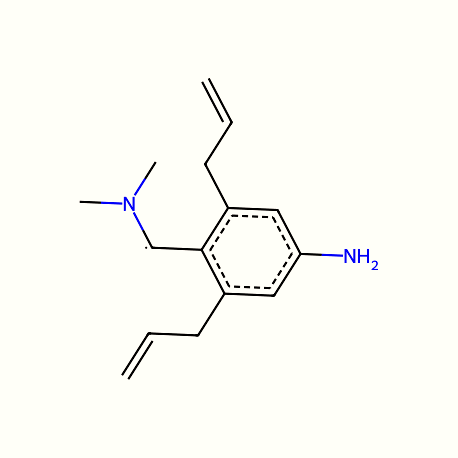 C=CCc1cc(N)cc(CC=C)c1[CH]N(C)C